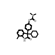 Cc1cccc2c1NC(=O)C2(c1ccc(OC(=O)N(C)C)cc1)C1CCCCC1